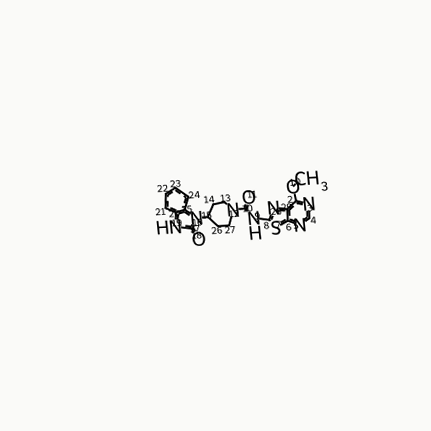 COc1ncnc2sc(NC(=O)N3CCC(n4c(=O)[nH]c5ccccc54)CC3)nc12